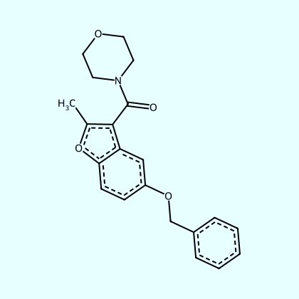 Cc1oc2ccc(OCc3ccccc3)cc2c1C(=O)N1CCOCC1